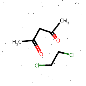 CC(=O)CC(C)=O.ClCCCl